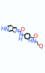 COCCNC(=O)c1ccc(NC(=O)N2C=C3C=CNC=C3C2)cc1